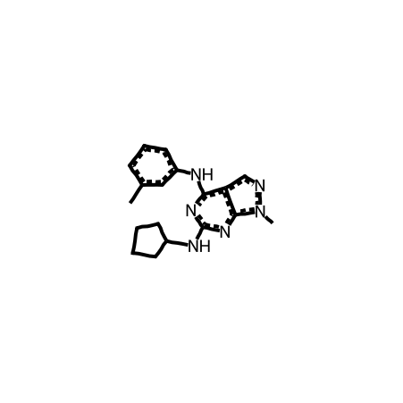 Cc1cccc(Nc2nc(NC3CCCC3)nc3c2cnn3C)c1